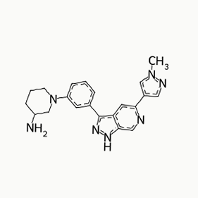 Cn1cc(-c2cc3c(-c4cccc(N5CCCC(N)C5)c4)n[nH]c3cn2)cn1